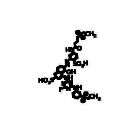 C=CS(=O)(=O)CCCC(=O)Nc1ccc(S(=O)(=O)O)c(/N=N/c2ccc3cc(S(=O)(=O)O)cc(Nc4nc(F)nc(Nc5cccc(S(=O)(=O)C=C)c5)n4)c3c2O)c1